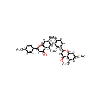 CC(=O)Oc1ccc(-c2cc(=O)c3c(OC(C)=O)c(-c4cc(-c5cc(=O)c6c(OC(C)=O)cc(OC(C)=O)cc6o5)ccc4OC(C)=O)c(OC(C)=O)cc3o2)cc1